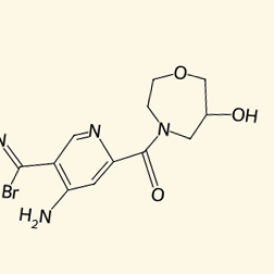 N=C(Br)c1cnc(C(=O)N2CCOCC(O)C2)cc1N